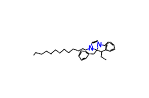 CCCCCCCCCCCCCN1C=CN(CC)C1(Cc1ccccc1)C(CC)c1ccccc1